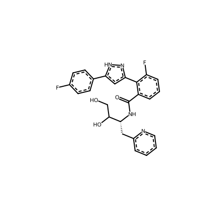 O=C(N[C@H](Cc1ccccn1)C(O)CO)c1cccc(F)c1-c1cc(-c2ccc(F)cc2)[nH]n1